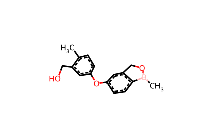 CB1OCc2cc(Oc3ccc(C)c(CO)c3)ccc21